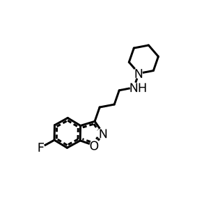 Fc1ccc2c(CCCNN3CCCCC3)noc2c1